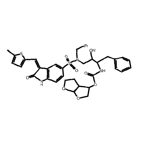 Cc1ccc(C=C2C(=O)Nc3ccc(S(=O)(=O)N(CC(C)C)CC(O)C(Cc4ccccc4)NC(=O)OC4COC5OCCC45)cc32)s1